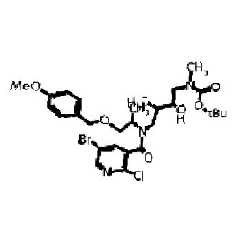 COc1ccc(COCC(C)N(CC(C)C(O)CN(C)C(=O)OC(C)(C)C)C(=O)c2cc(Br)cnc2Cl)cc1